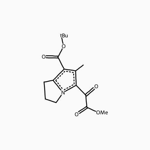 COC(=O)C(=O)c1c(C)c(C(=O)OC(C)(C)C)c2n1CCC2